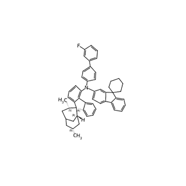 C[C@@H]1CC2C[C@@H](C1)[C@@]1(c3ccccc3-c3c(N(c4ccc(-c5cccc(F)c5)cc4)c4ccc5c(c4)C4(CCCCC4)c4ccccc4-5)cccc31)[C@@H](C)C2